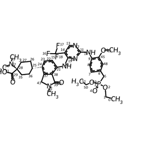 CCOP(=O)(Cc1ccc(Nc2ncc(C(F)(F)F)c(Nc3ccc([C@H]4CC[C@](C(=O)O)(N(C)C)CC4)c4c3C(=O)N(C)C4)n2)c(OC)c1)OCC